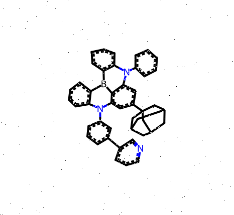 c1ccc(N2c3ccccc3B3c4ccccc4N(c4cccc(-c5cccnc5)c4)c4cc(C56CC7CC(CC(C7)C5)C6)cc2c43)cc1